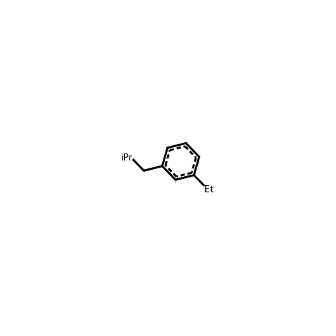 CCc1[c]c(CC(C)C)ccc1